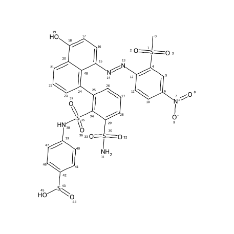 CS(=O)(=O)c1cc([N+](=O)[O-])ccc1N=Nc1ccc(O)c2cccc(-c3cccc(S(N)(=O)=O)c3S(=O)(=O)Nc3ccc(S(=O)O)cc3)c12